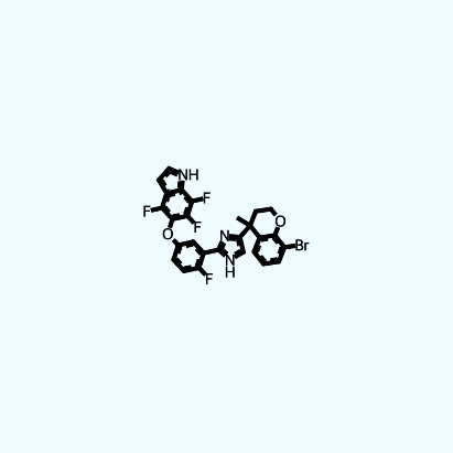 CC1(c2c[nH]c(-c3cc(Oc4c(F)c(F)c5[nH]ccc5c4F)ccc3F)n2)CCOc2c(Br)cccc21